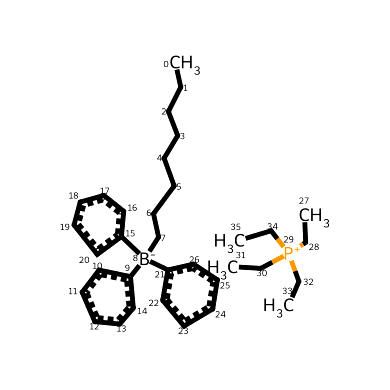 CCCCCCCC[B-](c1ccccc1)(c1ccccc1)c1ccccc1.CC[P+](CC)(CC)CC